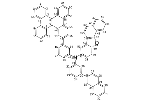 c1ccc(-c2c(-c3ccccc3)c3cc(-c4cccc(N(c5cccc(-c6ccc7ccccc7c6)c5)c5ccc6oc7c8ccccc8ccc7c6c5)c4)ccc3c3ccccc23)cc1